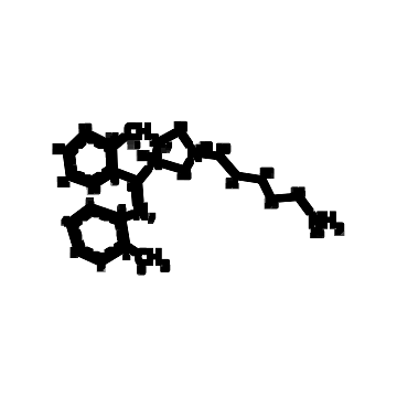 Cc1ccccc1/N=C(\c1ccccc1C)N1CCN(CCCCCN)C1